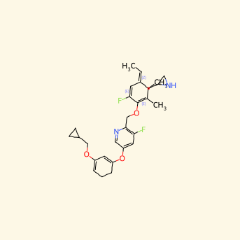 C\C=C(/C=C(F)\C(OCc1ncc(OC2=CC(OCC3CC3)=CCC2)cc1F)=C(\C)CC)CC1CN1